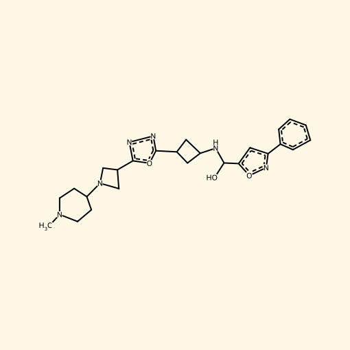 CN1CCC(N2CC(c3nnc(C4CC(NC(O)c5cc(-c6ccccc6)no5)C4)o3)C2)CC1